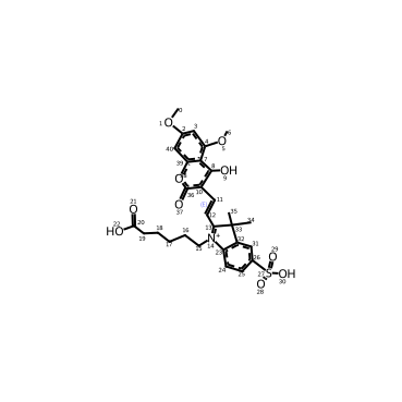 COc1cc(OC)c2c(O)c(/C=C/C3=[N+](CCCCCC(=O)O)c4ccc(S(=O)(=O)O)cc4C3(C)C)c(=O)oc2c1